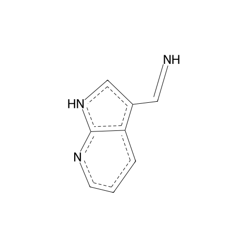 N=Cc1c[nH]c2ncccc12